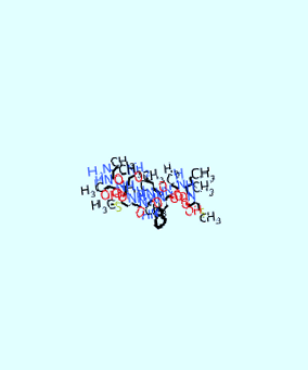 CC[C@H](C)[C@H](NC(=O)[C@H](C)NC(=O)[C@H](Cc1c[nH]c2ccccc12)NC(=O)[C@H](CC(C)C)NC(=O)[C@H](C)NC(=O)[C@H](CCSC)NC(=O)[C@H](CCC(N)=O)NC(=O)[C@@H](NC(=O)[C@@H](N)C(C)C)[C@@H](C)O)C(=O)N[C@@H](CCSC)C(=O)O